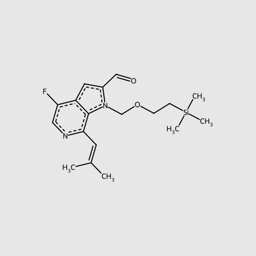 CC(C)=Cc1ncc(F)c2cc(C=O)n(COCC[Si](C)(C)C)c12